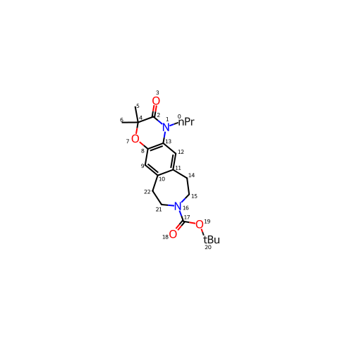 CCCN1C(=O)C(C)(C)Oc2cc3c(cc21)CCN(C(=O)OC(C)(C)C)CC3